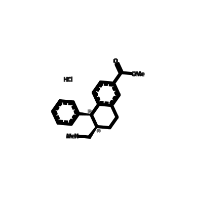 CNC[C@@H]1CCc2cc(C(=O)OC)ccc2[C@@H]1c1ccccc1.Cl